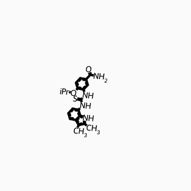 Cc1[nH]c2c(NC(=S)Nc3cc(C(N)=O)ccc3OC(C)C)cccc2c1C